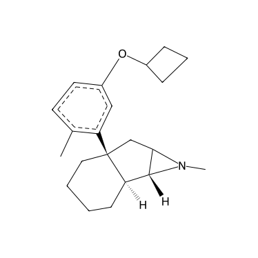 Cc1ccc(OC2CCC2)cc1[C@]12CCCC[C@@H]1[C@@H]1C(C2)N1C